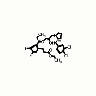 CCOC(=O)CCc1cc(F)c(F)cc1[C@@H](CC)OC[C@H](O)CN1CCC[C@H]1Cc1ccc(Cl)c(Cl)c1